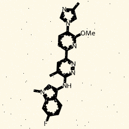 COc1nc(-c2cc(C)c(Nc3cn(C)c4cc(F)ccc34)nn2)ccc1-n1cnc(C)c1